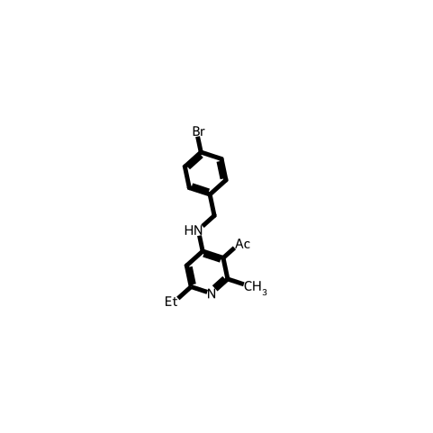 CCc1cc(NCc2ccc(Br)cc2)c(C(C)=O)c(C)n1